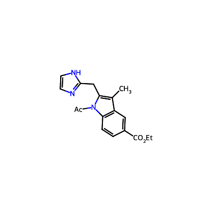 CCOC(=O)c1ccc2c(c1)c(C)c(Cc1ncc[nH]1)n2C(C)=O